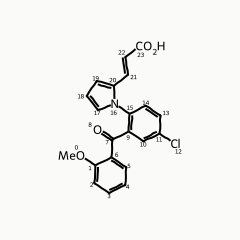 COc1ccccc1C(=O)c1cc(Cl)ccc1-n1cccc1C=CC(=O)O